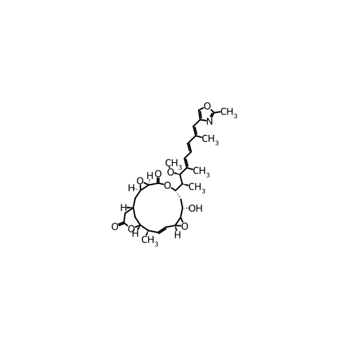 CO[C@@H](/C(C)=C/C=C/C(C)=C/c1coc(C)n1)[C@@H](C)[C@@H]1C[C@H](O)C2O[C@@H]2/C=C/[C@@H](C)[C@H]2C[C@H](CC(=O)O2)C[C@H]2O[C@H]2C(=O)O1